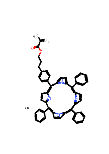 C=C(C)C(=O)OCCCc1ccc(-c2c3nc(c(-c4ccccc4)c4ccc([nH]4)c(-c4ccccc4)c4nc(c(-c5ccccc5)c5ccc2[nH]5)C=C4)C=C3)cc1.[Cu]